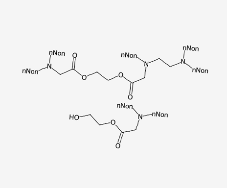 CCCCCCCCCN(CCCCCCCCC)CC(=O)OCCO.CCCCCCCCCN(CCCCCCCCC)CCN(CCCCCCCCC)CC(=O)OCCOC(=O)CN(CCCCCCCCC)CCCCCCCCC